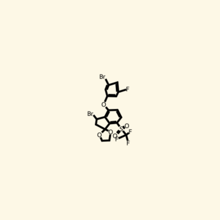 O=S(=O)(c1ccc(Oc2cc(F)cc(Br)c2)c2c1C1(CC2Br)OCCO1)C(F)(F)F